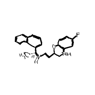 C[C@@H](NCCC1CNc2cc(F)ccc2O1)c1cccc2ccccc12